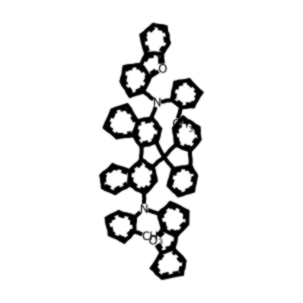 Cc1ccccc1N(c1cc2c(c3ccccc13)-c1c(cc(N(c3ccccc3C)c3cccc4c3oc3ccccc34)c3ccccc13)C21c2ccccc2-c2ccccc21)c1cccc2c1oc1ccccc12